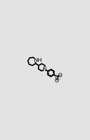 O=[N+]([O-])c1ccc(N2CCC(C3CCCCCN3)CC2)cc1